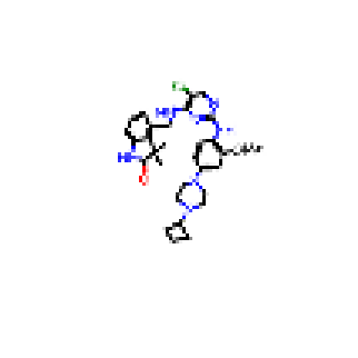 COc1cc(N2CCN(C3CCC3)CC2)ccc1Nc1ncc(Cl)c(NCc2cccc3c2C(C)(C)C(=O)N3)n1